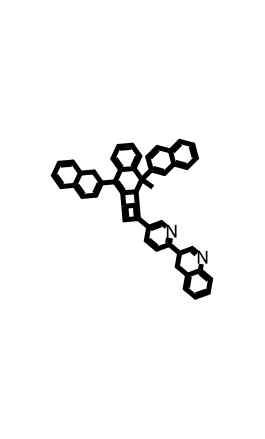 CC1(c2ccc3ccccc3c2)c2ccccc2C(C2=CC=C3C=CC=CC3C2)=C2C3=CC(c4ccc(C5C=Nc6ccccc6C5)nc4)=C3C21